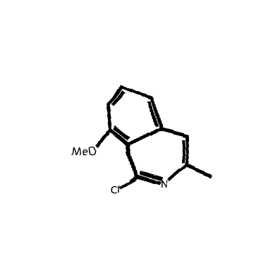 COc1cccc2cc(C)nc(Cl)c12